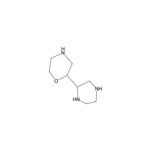 C1CNC(C2CNCCO2)CN1